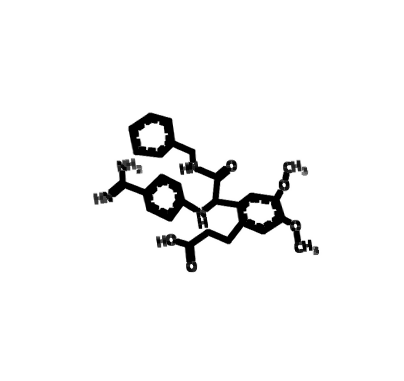 COc1cc(CCC(=O)O)c(C(Nc2ccc(C(=N)N)cc2)C(=O)NCc2ccccc2)cc1OC